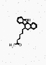 CC(=O)CCCCCC1Cc2ccccc2-c2[nH]c3ccccc3c21